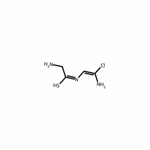 NC/C(S)=N\C=C(/N)Cl